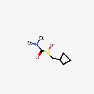 CCN(CC)C(=O)[S+]([O-])CC1CCC1